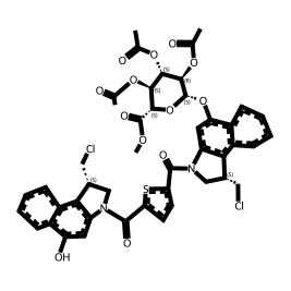 COC(=O)[C@H]1O[C@@H](Oc2cc3c(c4ccccc24)[C@H](CCl)CN3C(=O)c2ccc(C(=O)N3C[C@@H](CCl)c4c3cc(O)c3ccccc43)s2)[C@H](OC(C)=O)[C@@H](OC(C)=O)[C@@H]1OC(C)=O